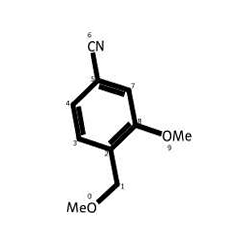 COCc1ccc(C#N)cc1OC